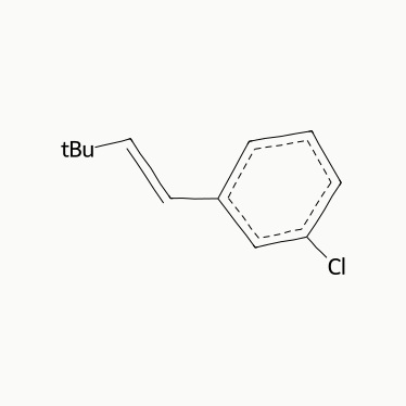 CC(C)(C)/C=C/c1cccc(Cl)c1